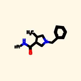 CCCNC(=O)C1CN(Cc2ccccc2)CC1C